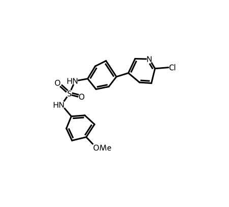 COc1ccc(NS(=O)(=O)Nc2ccc(-c3ccc(Cl)nc3)cc2)cc1